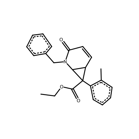 CCOC(=O)C1(c2ccccc2C)C2C=CC(=O)N(Cc3ccccc3)C21